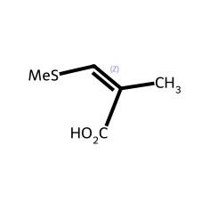 CS/C=C(/C)C(=O)O